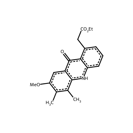 CCOC(=O)Cc1cccc2[nH]c3c(C)c(C)c(OC)cc3c(=O)c12